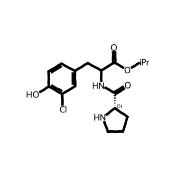 CC(C)OC(=O)C(Cc1ccc(O)c(Cl)c1)NC(=O)[C@@H]1CCCN1